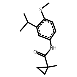 CSc1ccc(NC(=O)C2(C)CC2)cc1C(C)C